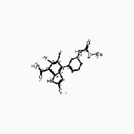 Cc1cc2c(C3=CCCC(NC(=O)OC(C)(C)C)C3)c(F)c(F)c(C(N)=O)c2[nH]1